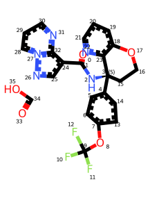 O=C(N[C@]1(c2ccc(OC(F)(F)F)cc2)CCOc2cccnc21)c1cnn2cccnc12.O=CO